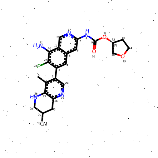 Cc1c(-c2cc3cc(NC(=O)O[C@H]4CCOC4)ncc3c(N)c2F)cnc2c1NCC(C#N)C2